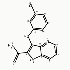 NC(=O)c1[nH]c2cccnc2c1Sc1cccc(Cl)c1